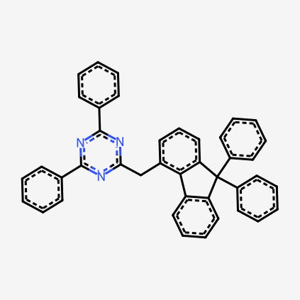 c1ccc(-c2nc(Cc3cccc4c3-c3ccccc3C4(c3ccccc3)c3ccccc3)nc(-c3ccccc3)n2)cc1